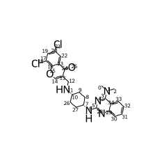 CN(C)c1nc(N[C@H]2CC[C@@H](NCc3coc4c(Cl)cc(Cl)cc4c3=O)CC2)nc2ccccc12